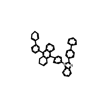 C1=CC(c2cccc(-c3c4c(c(-c5ccc(-n6c(-c7ccc(-c8ccccc8)cc7)nc7ccccc76)cc5)c5ccccc35)C=CCC4)c2)=CCC1